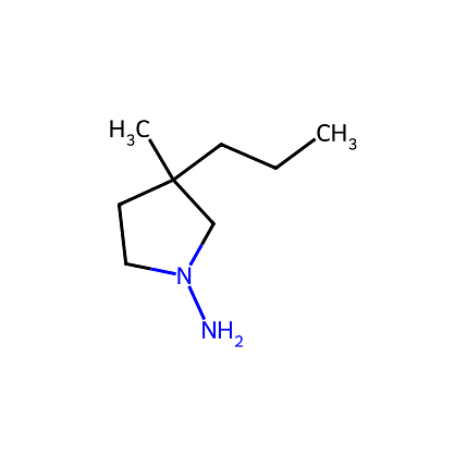 CCCC1(C)CCN(N)C1